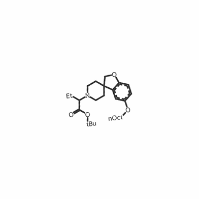 CCCCCCCCOc1ccc2c(c1)C1(CCN(C(CC)C(=O)OC(C)(C)C)CC1)CO2